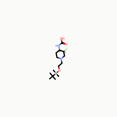 CC(C)(C)[Si](C)(C)OCCN1CC[C@@H](NC(=O)O)[C@@H](F)C1